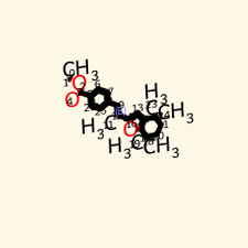 CCOC(=O)c1ccc(/C=C(\C)c2cc3c(o2)C(C)(C)CCC3(C)C)cc1